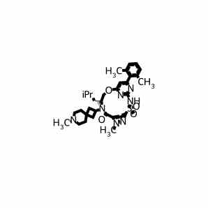 Cc1cccc(C)c1-c1cc2nc(n1)NS(=O)(=O)c1cc(n(C)n1)C(=O)N(C1CC3(CCN(C)CC3)C1)[C@H](CC(C)C)CO2